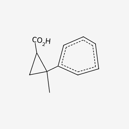 CC1(c2ccccc2)CC1C(=O)O